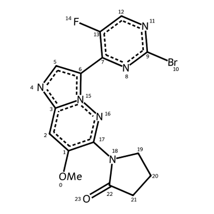 COc1cc2ncc(-c3nc(Br)ncc3F)n2nc1N1CCCC1=O